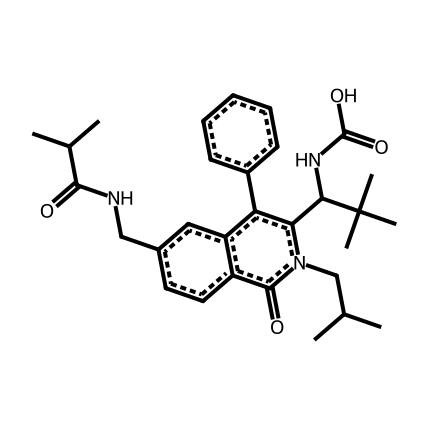 CC(C)Cn1c(C(NC(=O)O)C(C)(C)C)c(-c2ccccc2)c2cc(CNC(=O)C(C)C)ccc2c1=O